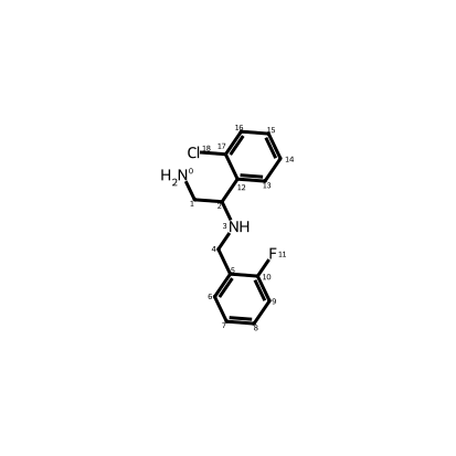 NCC(NCc1ccccc1F)c1ccccc1Cl